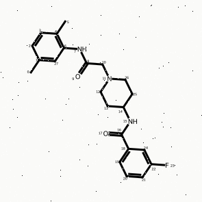 Cc1ccc(C)c(NC(=O)CN2CCC(NC(=O)c3cccc(F)c3)CC2)c1